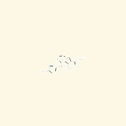 CCOC(=O)c1cn2ncnc(Nc3ccc(Br)cc3)c2c1CC